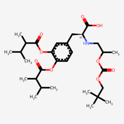 CC(CN[C@@H](Cc1ccc(OC(=O)C(C)C(C)C)c(OC(=O)C(C)C(C)C)c1)C(=O)O)OC(=O)OCC(C)(C)C